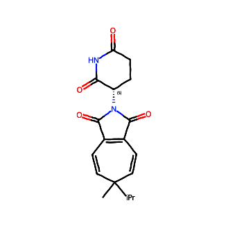 CC(C)C1(C)C=CC2=C(C=C1)C(=O)N([C@H]1CCC(=O)NC1=O)C2=O